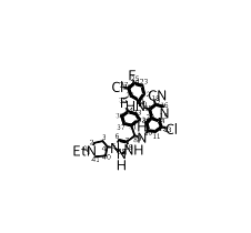 CCN1CCC(N2C=C(C(Nc3cc(Cl)c4ncc(C#N)c(Nc5ccc(F)c(Cl)c5)c4c3)c3ccc(F)cc3)NN2)CC1